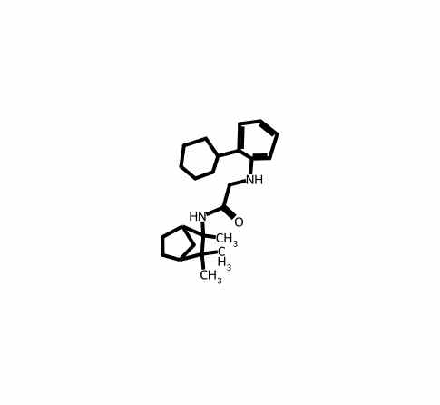 CC1(C)C2CCC(C2)C1(C)NC(=O)CNc1ccccc1C1CCCCC1